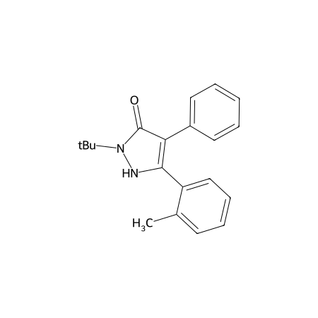 Cc1ccccc1-c1[nH]n(C(C)(C)C)c(=O)c1-c1ccccc1